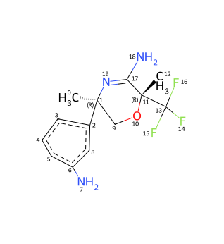 C[C@@]1(c2cccc(N)c2)CO[C@@](C)(C(F)(F)F)C(N)=N1